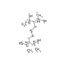 C[SH](S)C(CSSCC([SH](C)S)[SH](C)S)[SH](C)S